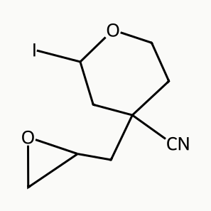 N#CC1(CC2CO2)CCOC(I)C1